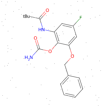 CC(C)(C)C(=O)Nc1cc(F)cc(OCc2ccccc2)c1OC(N)=O